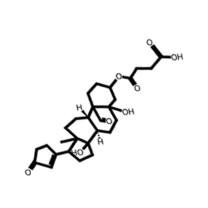 CC12CC[C@H]3[C@@H](CCC4(O)CC(OC(=O)CCC(=O)O)CCC34C=O)C1(O)CCC2C1=CC(=O)CC1